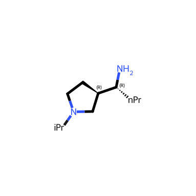 CCC[C@@H](N)[C@@H]1CCN(C(C)C)C1